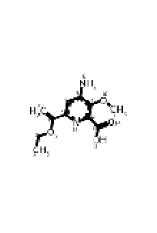 C=C(OCC)c1cc(N)c(OC)c(C(=O)O)n1